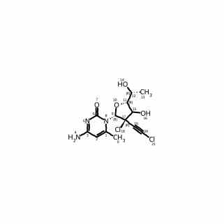 Cc1cc(N)nc(=O)n1[C@@H]1O[C@H]([C@@H](C)O)C(O)[C@]1(Cl)C#CCl